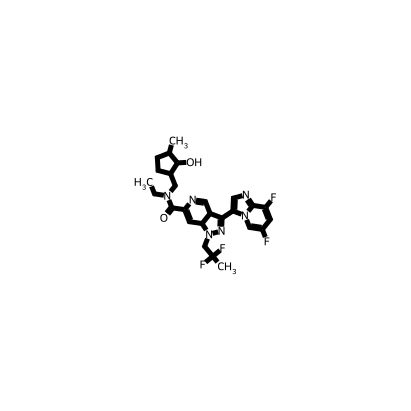 CCN(CC1CCC(C)C1O)C(=O)C1=CC2C(C=N1)C(c1cnc3c(F)cc(F)cn13)=NN2CC(C)(F)F